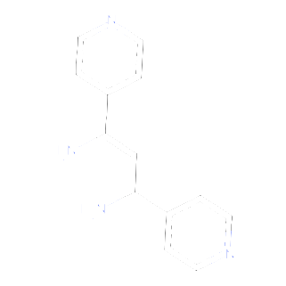 N/C(=C\C(N)c1ccncc1)c1ccncc1